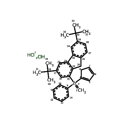 Cl.Cl.[CH2]=[Zr]([C]1=CC=CC1)([c]1ccccc1)[c]1cc(C(C)(C)C)cc2c1Cc1ccc(C(C)(C)C)cc1-2